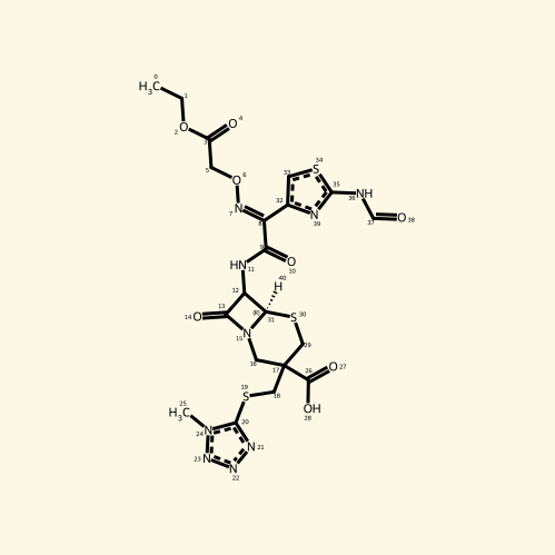 CCOC(=O)CON=C(C(=O)NC1C(=O)N2CC(CSc3nnnn3C)(C(=O)O)CS[C@H]12)c1csc(NC=O)n1